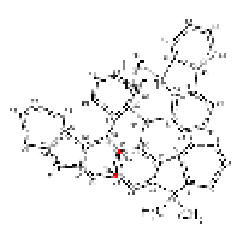 CC1(C)c2ccccc2-c2c(N(c3ccccc3-c3cccc4sc5ccccc5c34)c3cccc4c3C(C)(C)c3ccccc3-4)cccc21